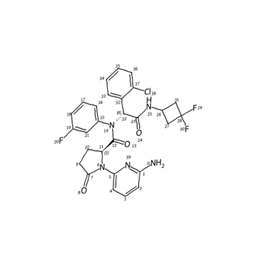 Nc1cccc(N2C(=O)CC[C@H]2C(=O)N(c2cccc(F)c2)[C@@H](C(=O)NC2CC(F)(F)C2)c2ccccc2Cl)n1